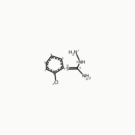 Clc1ccccc1.NNC(N)=S